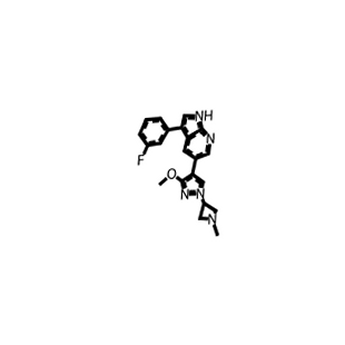 COc1nn(C2CN(C)C2)cc1-c1cnc2[nH]cc(-c3cccc(F)c3)c2c1